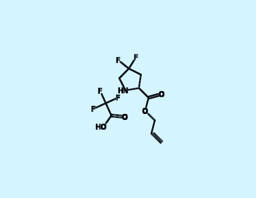 C=CCOC(=O)C1CC(F)(F)CN1.O=C(O)C(F)(F)F